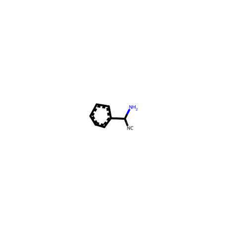 [C-]#[N+]C(N)c1ccccc1